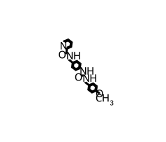 COc1ccc(CNC(=O)Nc2ccc(CNC(=O)c3ccccn3)cc2)cc1